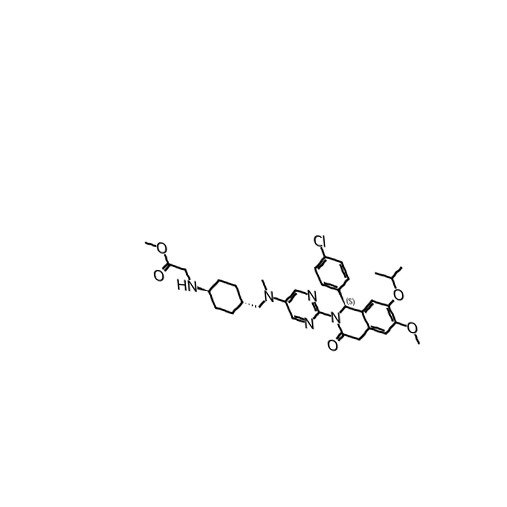 COC(=O)CN[C@H]1CC[C@H](CN(C)c2cnc(N3C(=O)Cc4cc(OC)c(OC(C)C)cc4[C@@H]3c3ccc(Cl)cc3)nc2)CC1